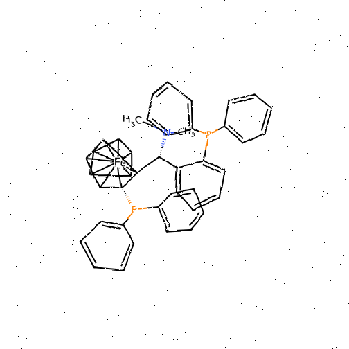 CN(C)[C@H](c1ccccc1P(c1ccccc1)c1ccccc1)[C]12[CH]3[CH]4[CH]5[C@@]1(P(c1ccccc1)c1ccccc1)[Fe]43521678[CH]2[CH]1[CH]6[CH]7[CH]28